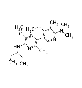 CCc1c(-c2nc(OC)c(NC(CC)CC)nc2C)cnc(N(C)C)c1C